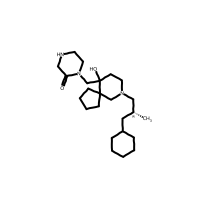 C[C@H](CC1CCCCC1)CN1CCC(O)(CN2CCNCC2=O)C2(CCCC2)C1